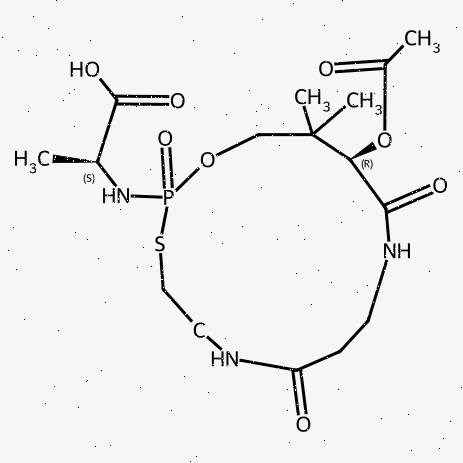 CC(=O)O[C@H]1C(=O)NCCC(=O)NCCSP(=O)(N[C@@H](C)C(=O)O)OCC1(C)C